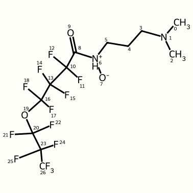 CN(C)CCC[NH+]([O-])C(=O)C(F)(F)C(F)(F)C(F)(F)OC(F)(F)C(F)(F)C(F)(F)F